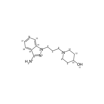 Nc1nn(CCCN2CCC(O)CC2)c2ccccc12